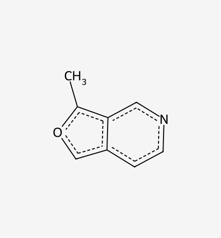 Cc1occ2ccncc12